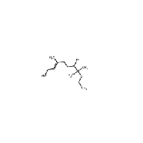 CCOC(C)(C)C(Br)CCC(C)=CCO